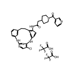 O=C(CC1CCN(C(=O)c2cccnc2)CC1)Nc1ccc2cc1CCc1cccc(c1)Nc1ncc(Cl)c(n1)N2.O=C(O)C(F)(F)F.O=C(O)C(F)(F)F